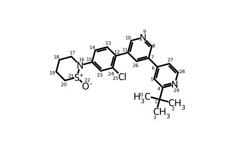 CC(C)(C)c1cc(-c2cncc(-c3ccc(N4CCCC[S+]4[O-])cc3Cl)c2)ccn1